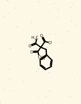 CC(=O)C(Cc1ccccc1)(C(C)=O)C(=O)Cl